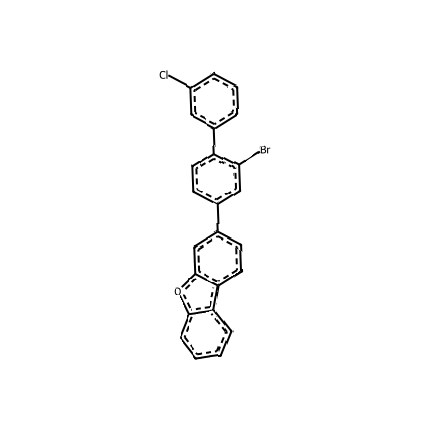 Clc1cccc(-c2ccc(-c3ccc4c(c3)oc3ccccc34)cc2Br)c1